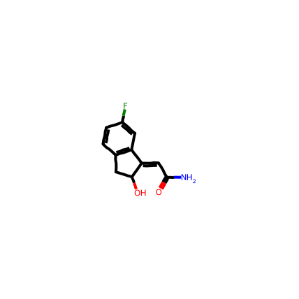 NC(=O)C=C1c2cc(F)ccc2CC1O